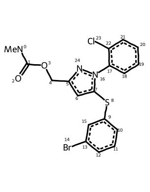 CNC(=O)OCc1cc(Sc2cccc(Br)c2)n(-c2ccccc2Cl)n1